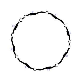 C1=C\CC/C=C/CC/C=C/CC/C=C/CC/C=C/CC/C=C\CC/C=C/CC/C=C/CC/1